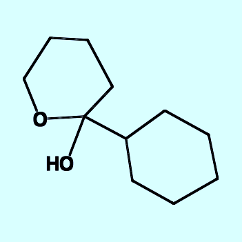 OC1(C2CCCCC2)CCCCO1